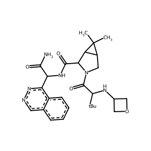 CC(C)(C)C(NC1COC1)C(=O)N1CC2C(C1C(=O)NC(C(N)=O)c1nncc3ccccc13)C2(C)C